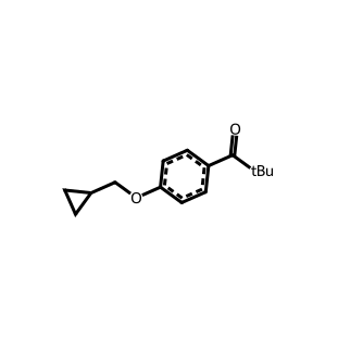 CC(C)(C)C(=O)c1ccc(OCC2CC2)cc1